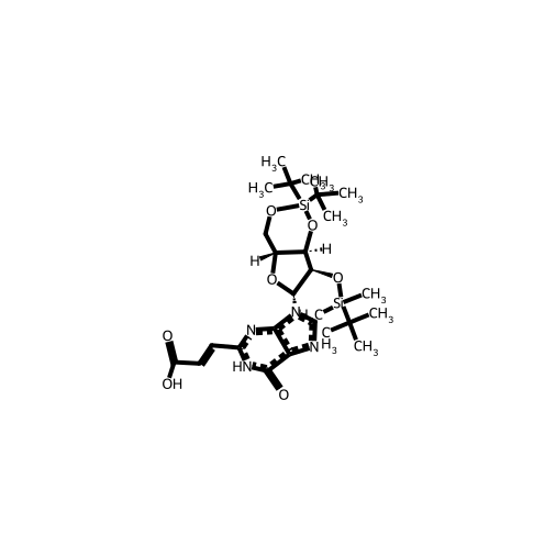 CC(C)(C)[Si](C)(C)O[C@@H]1[C@@H]2O[Si](C(C)(C)C)(C(C)(C)C)OC[C@H]2O[C@H]1n1cnc2c(=O)[nH]c(/C=C/C(=O)O)nc21